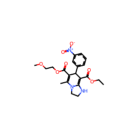 CCOC(=O)C1=C2NCCN2C(C)=C(C(=O)OCCOC)C1c1cccc([N+](=O)[O-])c1